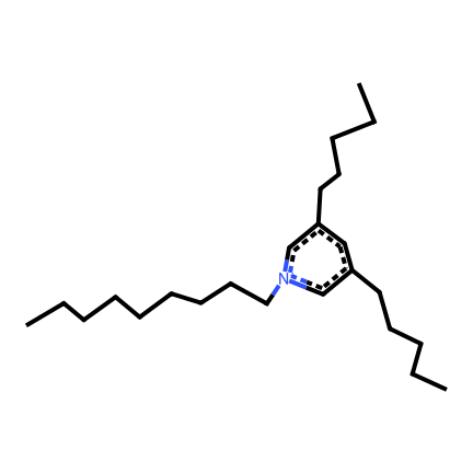 CCCCCCCCC[n+]1cc(CCCCC)cc(CCCCC)c1